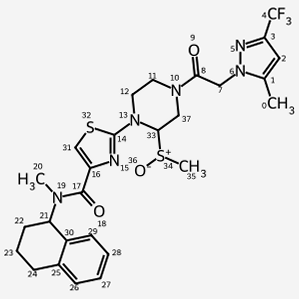 Cc1cc(C(F)(F)F)nn1CC(=O)N1CCN(c2nc(C(=O)N(C)C3CCCc4ccccc43)cs2)C([S+](C)[O-])C1